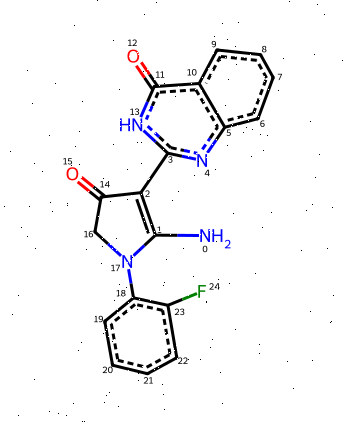 NC1=C(c2nc3ccccc3c(=O)[nH]2)C(=O)CN1c1ccccc1F